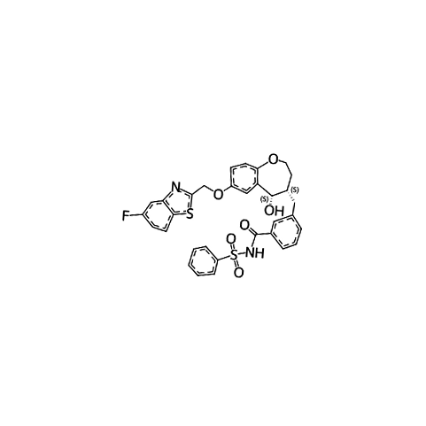 O=C(NS(=O)(=O)c1ccccc1)c1cccc(C[C@H]2CCOc3ccc(OCc4nc5cc(F)ccc5s4)cc3[C@H]2O)c1